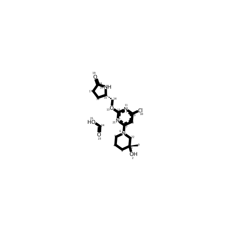 C[C@@]1(O)CCCN(c2cc(Cl)nc(OC[C@@H]3CCC(=O)N3)n2)C1.O=CO